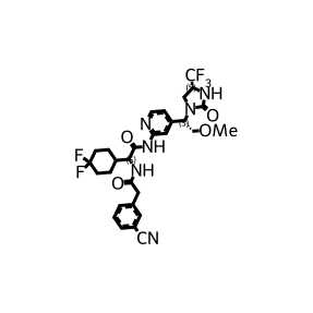 COC[C@H](c1ccnc(NC(=O)[C@@H](NC(=O)Cc2cccc(C#N)c2)C2CCC(F)(F)CC2)c1)N1C[C@@H](C(F)(F)F)NC1=O